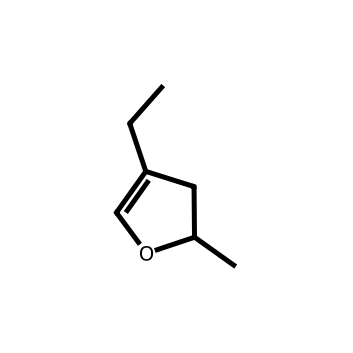 CCC1=COC(C)C1